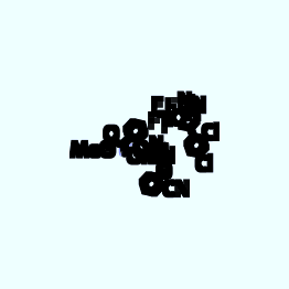 CO/C=C(/C(=O)OC)c1ccccc1Oc1cc(Oc2ccccc2C#N)ncn1.FC(F)C(F)(F)OCC(Cn1cncn1)c1ccc(Cl)cc1Cl